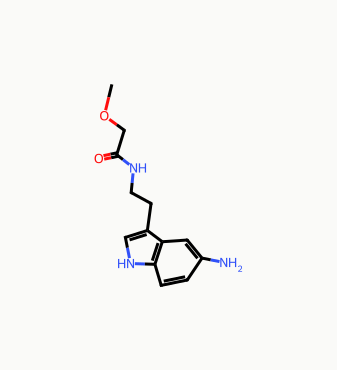 COCC(=O)NCCc1c[nH]c2ccc(N)cc12